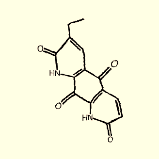 CCc1cc2c([nH]c1=O)C(=O)c1[nH]c(=O)ccc1C2=O